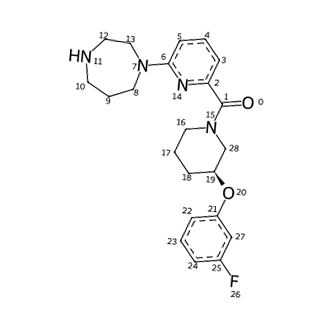 O=C(c1cccc(N2CCCNCC2)n1)N1CCC[C@H](Oc2cccc(F)c2)C1